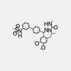 CNC(=O)N1N=C(c2ccc(-c3cccc(NS(C)(=O)=O)c3)cc2)c2cc(OC)c(OC)cc2CC1C